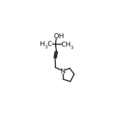 CC(C)(O)C#CCN1CCCC1